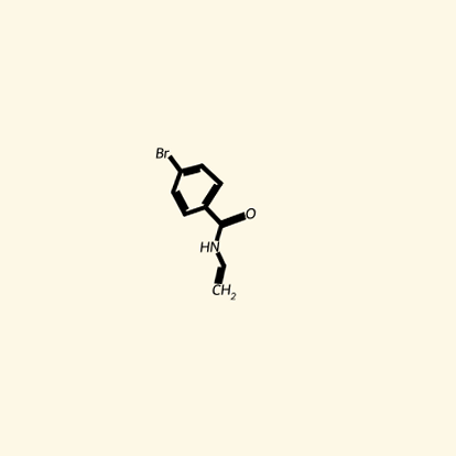 C=CNC(=O)c1ccc(Br)cc1